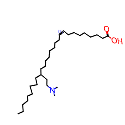 CCCCCCCCCC(CCCCCCCC/C=C\CCCCCCCC(=O)O)CCN(C)C